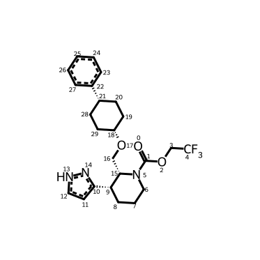 O=C(OCC(F)(F)F)N1CCC[C@H](c2cc[nH]n2)[C@@H]1CO[C@H]1CC[C@@H](c2ccccc2)CC1